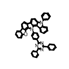 c1ccc(-c2nc(-c3ccccc3)nc(-c3ccc(-n4c5c(ccc6c7ccccc7oc65)c5ccc6c(c7ccccc7n6-c6ccccc6)c54)cc3)n2)cc1